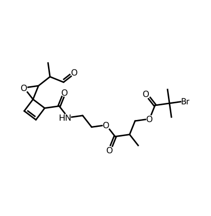 CC(COC(=O)C(C)(C)Br)C(=O)OCCNC(=O)C1C=CC12OC2C(C)C=O